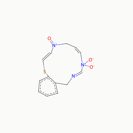 O=[N+]1/C=C/Sc2ccccc2C/N=C/[N+]([O-])([O-])/C=C\C1